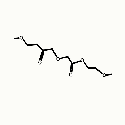 COCCOC(=O)COCC(=O)CCOC